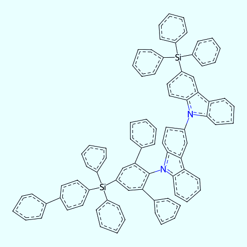 c1ccc(-c2ccc([Si](c3ccccc3)(c3ccccc3)c3cc(-c4ccccc4)c(-n4c5ccccc5c5cc(-n6c7ccccc7c7cc([Si](c8ccccc8)(c8ccccc8)c8ccccc8)ccc76)ccc54)c(-c4ccccc4)c3)cc2)cc1